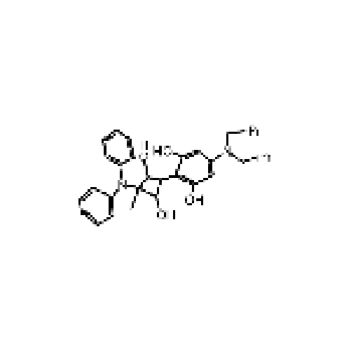 CC(C)CN(CC(C)C)c1cc(O)c(C2C(O)C(C)(N(c3ccccc3)c3ccccc3)C2O)c(O)c1